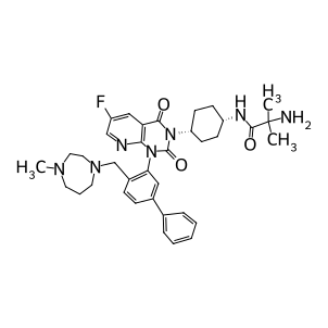 CN1CCCN(Cc2ccc(-c3ccccc3)cc2-n2c(=O)n([C@H]3CC[C@@H](NC(=O)C(C)(C)N)CC3)c(=O)c3cc(F)cnc32)CC1